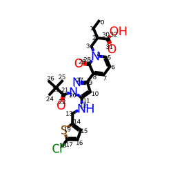 CCC(Cn1cccc(-c2cc(NCc3ccc(Cl)s3)n(C(=O)C(C)(C)C)n2)c1=O)C(=O)O